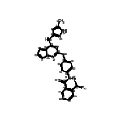 Cc1cc(Nc2nc(Sc3ccc(NC(=O)c4cnccc4C(F)F)cc3)nn3cccc23)n[nH]1